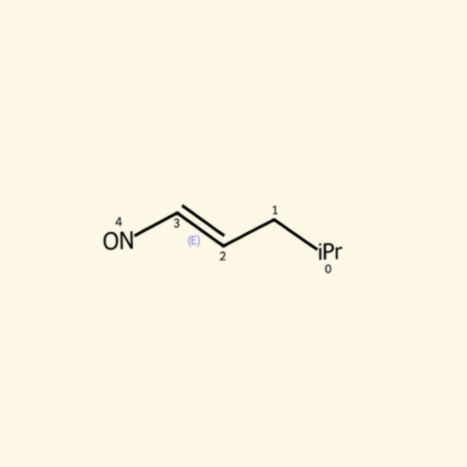 CC(C)C/C=C/N=O